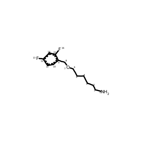 NCCCCCCOCc1ccc(F)cc1F